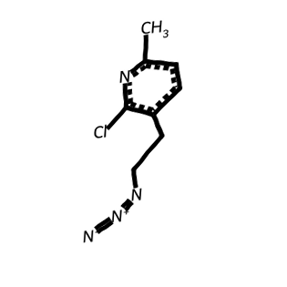 Cc1ccc(CCN=[N+]=[N-])c(Cl)n1